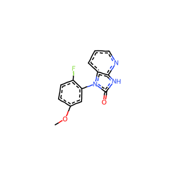 COc1ccc(F)c(-n2c(=O)[nH]c3ncccc32)c1